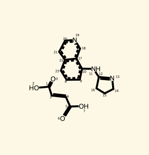 O=C(O)C=CC(=O)O.c1cc(NC2=NCCC2)c2cnccc2c1